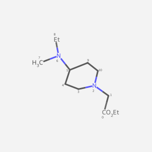 CCOC(=O)CN1CCC(N(C)CC)CC1